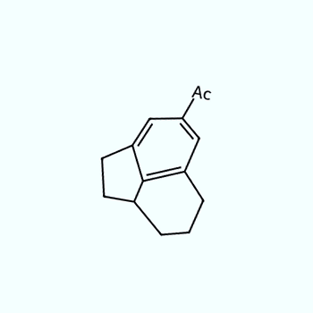 CC(=O)c1cc2c3c(c1)CCC3CCC2